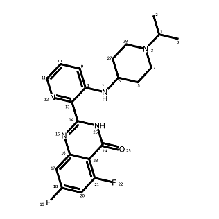 CC(C)N1CCC(Nc2cccnc2-c2nc3cc(F)cc(F)c3c(=O)[nH]2)CC1